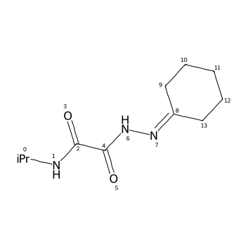 CC(C)NC(=O)C(=O)NN=C1CCCCC1